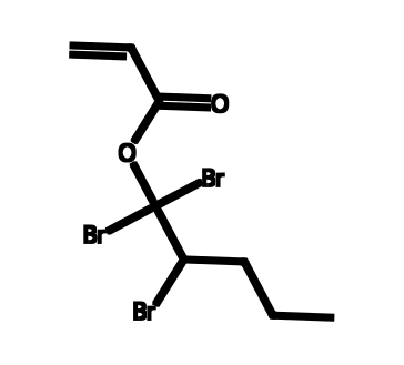 C=CC(=O)OC(Br)(Br)C(Br)CCC